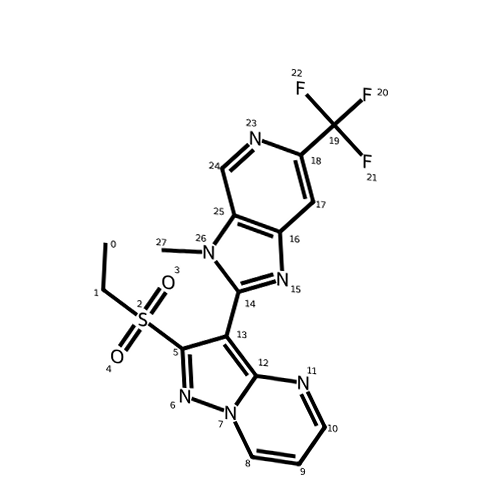 CCS(=O)(=O)c1nn2cccnc2c1-c1nc2cc(C(F)(F)F)ncc2n1C